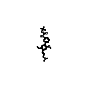 CCc1cc(-c2cccc(NC(=O)OC(C)(C)C)n2)c(OC)cc1/C=C/CN(C)C